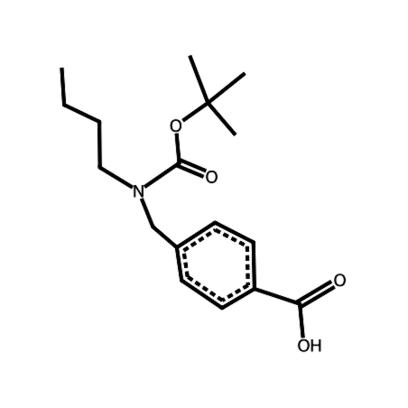 CCCCN(Cc1ccc(C(=O)O)cc1)C(=O)OC(C)(C)C